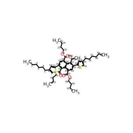 CCCCCCC1=CS2(CCCC)C(=O)c3c(cc(C(=O)OCCCC)c4c(C(C)=O)c(-c5cc(CCCCCC)cs5)cc(C(=O)OCCCC)c34)C2=C1